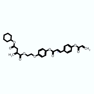 C=CC(=O)Oc1ccc(/C=C/C(=O)Oc2ccc(OCCOC(=O)C(=C)CC(=O)OC3CCCCC3)cc2)cc1